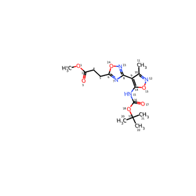 COC(=O)CCc1nc(-c2c(C)noc2NC(=O)OC(C)(C)C)no1